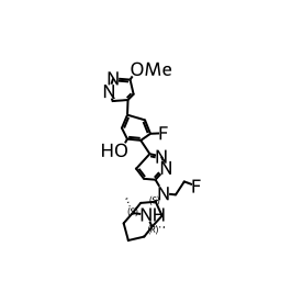 COc1cc(-c2cc(O)c(-c3ccc(N(CCF)[C@H]4C[C@]5(C)CCC[C@](C)(C4)N5)nn3)c(F)c2)cnn1